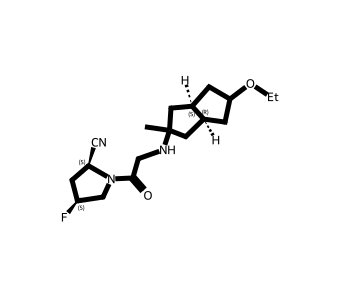 CCOC1C[C@@H]2CC(C)(NCC(=O)N3C[C@@H](F)C[C@H]3C#N)C[C@@H]2C1